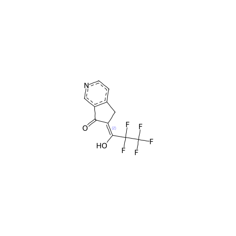 O=C1/C(=C(\O)C(F)(F)C(F)(F)F)Cc2ccncc21